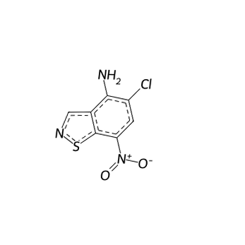 Nc1c(Cl)cc([N+](=O)[O-])c2sncc12